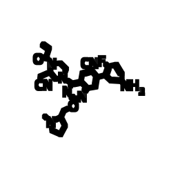 C=CC(=O)N1CCN(c2nc(OCC3CCCN3C)nc3cc(-c4cc(N)ccc4F)c(C#N)cc23)CC1CC#N